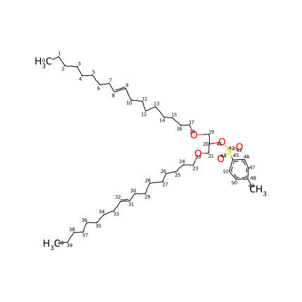 CCCCCCCCC=CCCCCCCCCOCC(COCCCCCCCCC=CCCCCCCCC)OS(=O)(=O)c1ccc(C)cc1